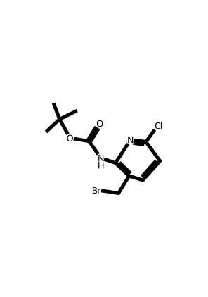 CC(C)(C)OC(=O)Nc1nc(Cl)ccc1CBr